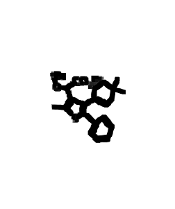 CCOC(=O)C(OC(C)(C)C)c1c(C)sc(-c2ccccc2)c1C1=CCC(C)(C)CC1